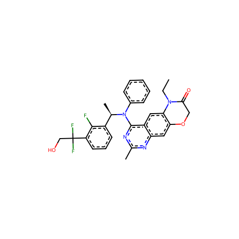 CCN1C(=O)COc2cc3nc(C)nc(N(c4ccccc4)[C@H](C)c4cccc(C(F)(F)CO)c4F)c3cc21